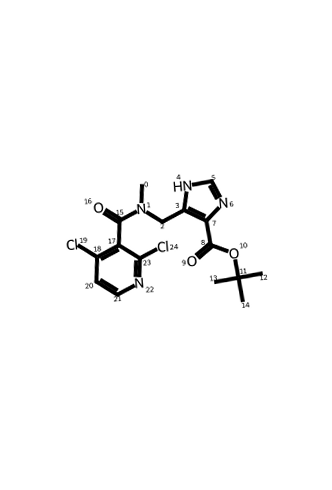 CN(Cc1[nH]cnc1C(=O)OC(C)(C)C)C(=O)c1c(Cl)ccnc1Cl